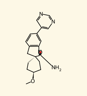 CO[C@H]1CC[C@]2(CC1)Cc1ccc(-c3cncnc3)cc1C21COC(N)=N1